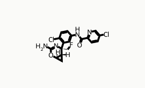 NC1=N[C@@](CF)(c2cc(NC(=O)c3ccc(Cl)cn3)ccc2Cl)[C@@H]2C[C@H]2O1